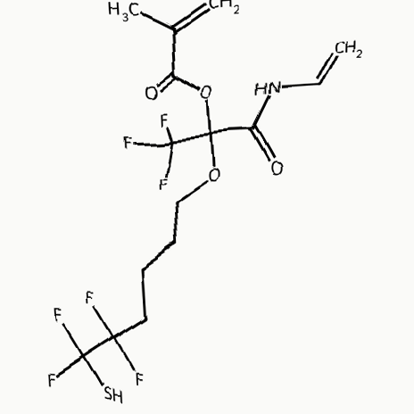 C=CNC(=O)C(OCCCCC(F)(F)C(F)(F)S)(OC(=O)C(=C)C)C(F)(F)F